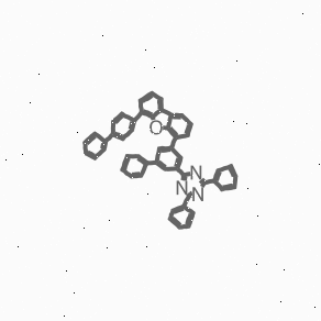 c1ccc(-c2ccc(-c3cccc4c3oc3c(-c5cc(-c6ccccc6)cc(-c6nc(-c7ccccc7)nc(-c7ccccc7)n6)c5)cccc34)cc2)cc1